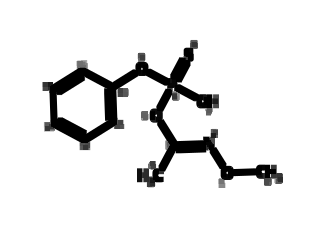 CON=C(C)OP(O)(=S)Oc1ccccc1